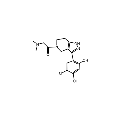 CN(C)CC(=O)N1CCc2[nH]nc(-c3cc(Cl)c(O)cc3O)c2C1